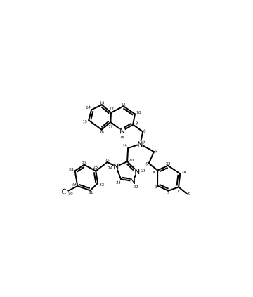 Cc1ccc(CCN(Cc2ccc3ccccc3n2)Cc2nncn2Cc2ccc(Cl)cc2)cc1